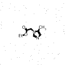 CCOC(=O)Cn1cn[c]c1C